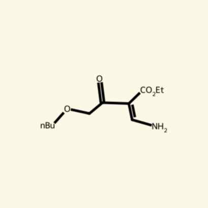 CCCCOCC(=O)C(=CN)C(=O)OCC